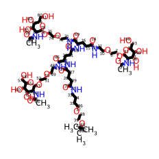 CC(=O)NC1C(OCCOCCNC(=O)CCC(NC(=O)CCC(NC(=O)CCCC(=O)NCCCCOCCOC(C)(C)C)C(=O)NCCOCCOC2OC(CO)C(O)C(O)C2NC(C)=O)C(=O)NCCOCCOC2OC(CO)C(O)C(O)C2NC(C)=O)OC(CO)C(O)C1O